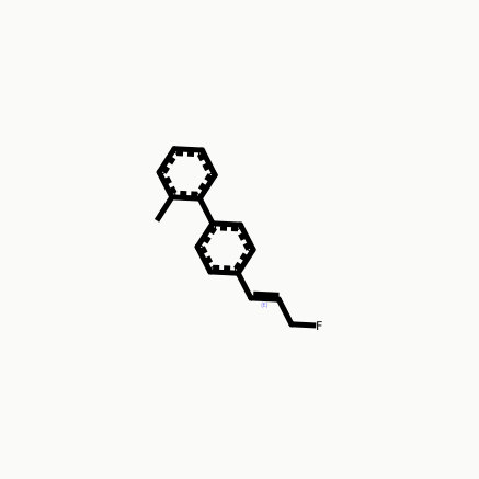 Cc1ccccc1-c1ccc(/C=C/CF)cc1